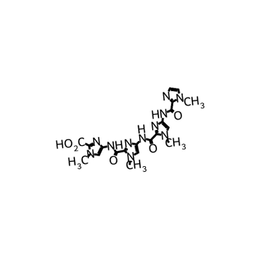 Cn1cc(NC(=O)c2nc(NC(=O)c3nc(NC(=O)c4nccn4C)cn3C)cn2C)nc1C(=O)O